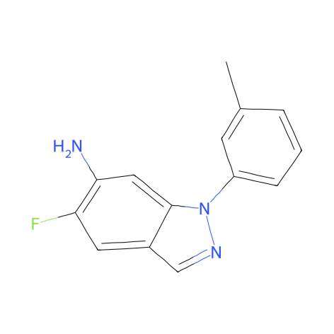 Cc1cccc(-n2ncc3cc(F)c(N)cc32)c1